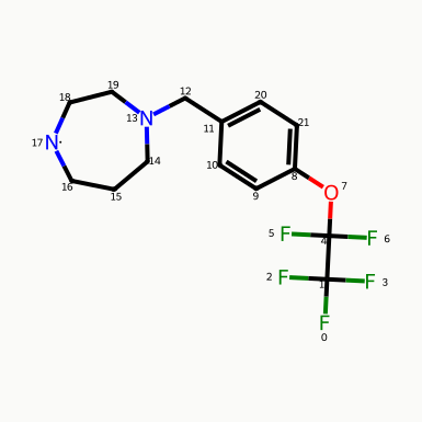 FC(F)(F)C(F)(F)Oc1ccc(CN2CCC[N]CC2)cc1